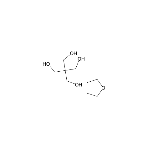 C1CCOC1.OCC(CO)(CO)CO